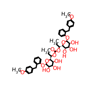 CCC(OC(=O)OC(CC)[C@@H]1O[C@@H](Oc2ccccc2Cc2ccc(OC)cc2)[C@H](O)[C@@H](O)[C@@H]1O)[C@@H]1O[C@@H](Oc2ccccc2Cc2ccc(OC)cc2)[C@H](O)[C@@H](O)[C@@H]1O